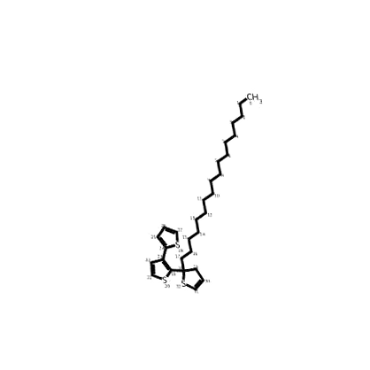 CCCCCCCCCCCCCCCCCCC1(c2sccc2-c2cccs2)CC=CS1